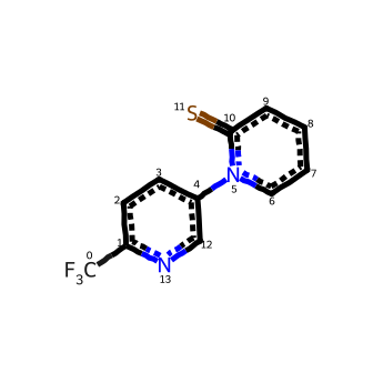 FC(F)(F)c1ccc(-n2ccccc2=S)cn1